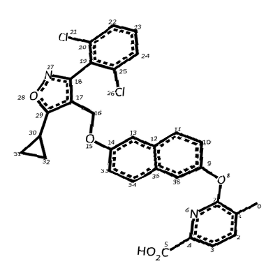 Cc1ccc(C(=O)O)nc1Oc1ccc2cc(OCc3c(-c4c(Cl)cccc4Cl)noc3C3CC3)ccc2c1